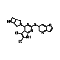 CCc1[nH]c2nc(Sc3cnc4ccoc4c3)nc(N3CC4CNC4C3)c2c1Cl